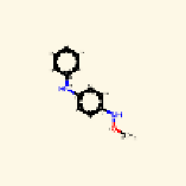 CONc1ccc(Nc2ccccc2)cc1